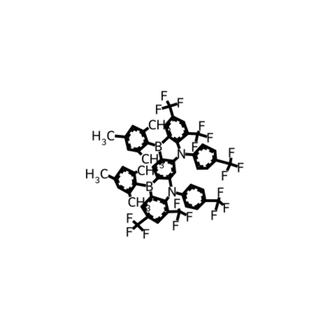 Cc1cc(C)c(B2c3cc4c(cc3N(c3ccc(C(F)(F)F)cc3)c3c2cc(C(F)(F)F)cc3C(F)(F)F)N(c2ccc(C(F)(F)F)cc2)c2c(cc(C(F)(F)F)cc2C(F)(F)F)B4c2c(C)cc(C)cc2C)c(C)c1